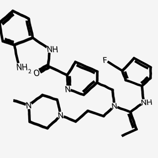 C/C=C(/Nc1cccc(F)c1)N(CCCN1CCN(C)CC1)Cc1ccc(C(=O)Nc2ccccc2N)nc1